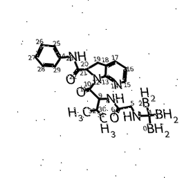 BC(B)(B)NCC(=O)NC(C(=O)N1c2ncccc2CC1C(=O)Nc1ccccc1)C(C)C